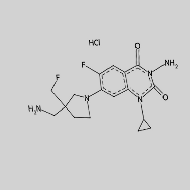 Cl.NCC1(CF)CCN(c2cc3c(cc2F)c(=O)n(N)c(=O)n3C2CC2)C1